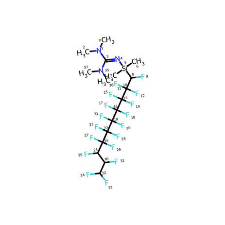 CN(C)C(=N[Si](C)(C)C(F)C(F)(F)C(F)(F)C(F)(F)C(F)(F)C(F)(F)C(F)(F)C(F)C(F)C(F)F)N(C)C